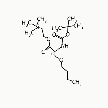 CCCCOC[C@@H](NC(=O)OC(C)(C)C)C(=O)OCC[Si](C)(C)C